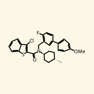 COc1ccc(-c2ccc(F)c(CN(C(=O)c3sc4ccccc4c3Cl)[C@H]3CC[C@H](C)CC3)c2)cc1